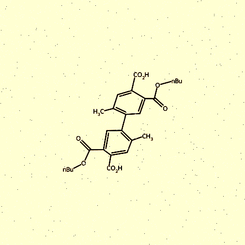 CCCCOC(=O)c1cc(-c2cc(C(=O)OCCCC)c(C(=O)O)cc2C)c(C)cc1C(=O)O